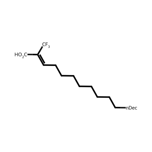 CCCCCCCCCCCCCCCCCCC=C(C(=O)O)C(F)(F)F